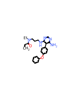 C=CC(=O)N(CC)CCCNc1ncnc(N)c1-c1ccc(Oc2ccccc2)cc1